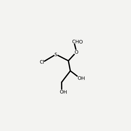 O=COC(SCl)C(O)CO